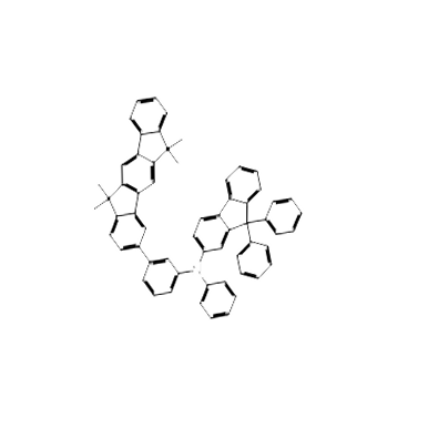 CC1(C)c2ccccc2-c2cc3c(cc21)-c1cc(-c2cccc(N(c4ccccc4)c4ccc5c(c4)C(c4ccccc4)(c4ccccc4)c4ccccc4-5)c2)ccc1C3(C)C